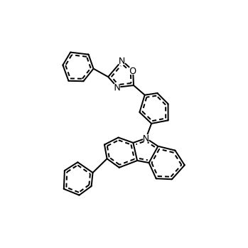 c1ccc(-c2ccc3c(c2)c2ccccc2n3-c2cccc(-c3nc(-c4ccccc4)no3)c2)cc1